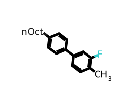 CCCCCCCCc1ccc(-c2ccc(C)c(F)c2)cc1